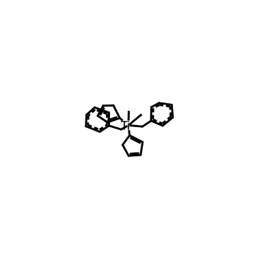 [CH3][Ti]([CH3])([CH2]c1ccccc1)([CH2]c1ccccc1)([C]1=CC=CC1)[C]1=CC=CC1